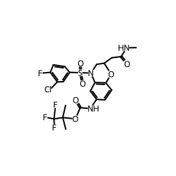 CNC(=O)CC1CN(S(=O)(=O)c2ccc(F)c(Cl)c2)c2cc(NC(=O)OC(C)(C)C(F)(F)F)ccc2O1